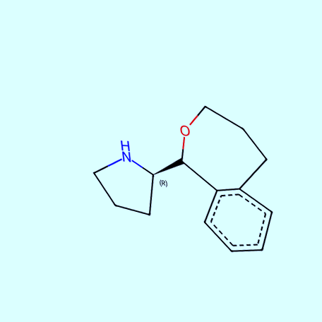 c1ccc2c(c1)CCCOC2[C@H]1CCCN1